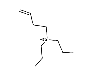 C=CC[CH2][GeH]([CH2]CC)[CH2]CC